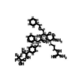 N=C(N)NCCC[C@H](NC(=O)[C@H](COCc1ccccc1)NC(=O)[C@H](Cc1ccc(C(=N)N)cc1)c1cccnc1)C(N)=O.O=C(O)C(F)(F)F